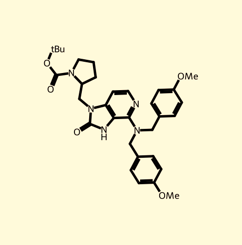 COc1ccc(CN(Cc2ccc(OC)cc2)c2nccc3c2[nH]c(=O)n3CC2CCCN2C(=O)OC(C)(C)C)cc1